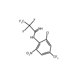 N=C(Nc1c(Cl)cc(C(F)(F)F)cc1[N+](=O)[O-])C(F)(F)C(F)(F)F